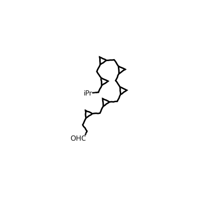 CC(C)CC1CC1CC1CC1CC1CC1CC1CC1CC1CC1CC1CC1CCC=O